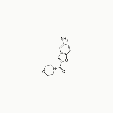 Nc1ccc2oc(C(=O)N3CCOCC3)cc2c1